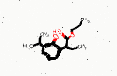 CCCOC(=O)C(CC)c1cccc(C(C)C)c1O